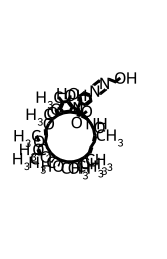 CO[C@H]1/C=C/O[C@@]2(C)Oc3c(C)c(O)c4c(=O)c(c5oc6cc(N7CCN(CCO)CC7)cc(O)c6nc-5c4c3C2=O)NC(=O)/C(C)=C\C=C\C(C)(C)[C@H](C)[C@H](O)[C@@H](C)[C@@H](O)[C@@H](C)[C@H](OC(C)=O)[C@@H]1C